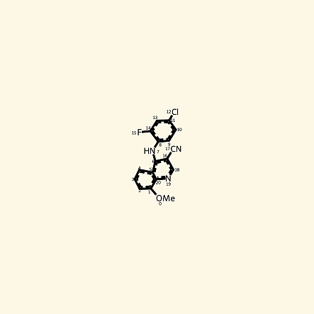 COc1cccc2c(Nc3ccc(Cl)cc3F)c(C#N)cnc12